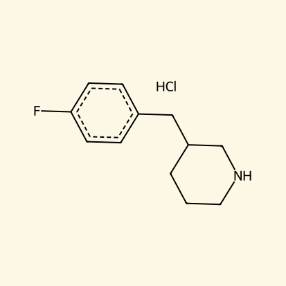 Cl.Fc1ccc(CC2CCCNC2)cc1